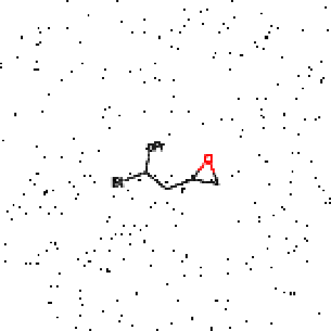 [CH2]CC(CCC)CC1CO1